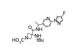 CC(NC(=O)C1(NC(C)(C)C)CN(C(=O)O)C1)c1ccc(-n2cc(F)cn2)nc1